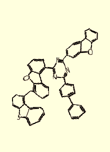 C1=c2sc3ccccc3c2=C(c2cccc3c2oc2cccc(-c4nc(-c5ccc(-c6ccccc6)cc5)nc(-c5ccc6c(c5)oc5ccccc56)n4)c23)CC1